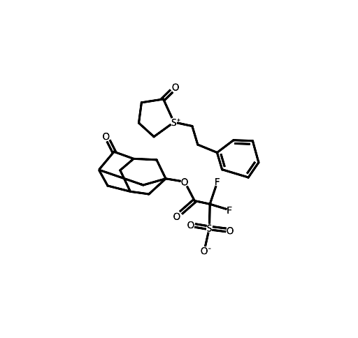 O=C1C2CC3CC1CC(OC(=O)C(F)(F)S(=O)(=O)[O-])(C3)C2.O=C1CCC[S+]1CCc1ccccc1